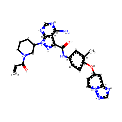 C=CC(=O)N1CCCC(n2nc(C(=O)Nc3ccc(Oc4ccn5ncnc5c4)c(C)c3)c3c(N)ncnc32)C1